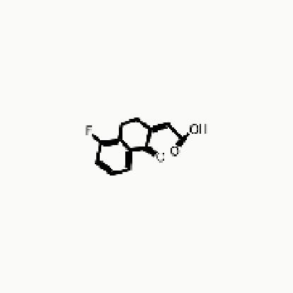 O=C(O)C=C1CCc2c(F)cccc2C1=O